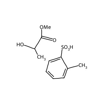 COC(=O)C(C)O.Cc1ccccc1S(=O)(=O)O